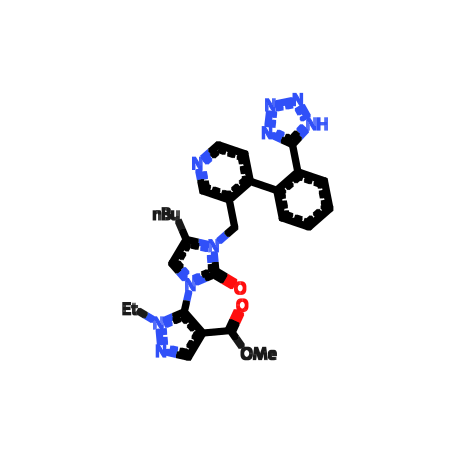 CCCCc1cn(-c2c(C(=O)OC)cnn2CC)c(=O)n1Cc1cnccc1-c1ccccc1-c1nnn[nH]1